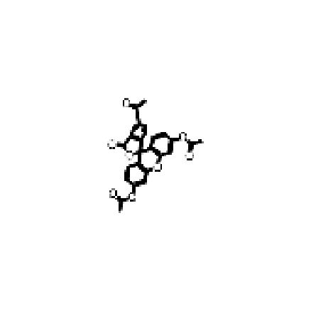 CC(=O)Oc1ccc2c(c1)Oc1cc(OC(C)=O)ccc1C21OC(=O)c2cc(C(C)=O)ccc21